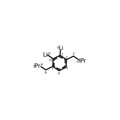 [Li][c]1c(CC(C)C)ccc(CC(C)C)[c]1[Li]